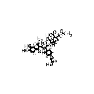 CC(=O)OCC1=C(C(=O)O)N2C(=O)[C@@H](NC(=O)C(NC(=O)c3c(C)oc4c(O)c(O)ccc4c3=O)c3ccc(OCC(=O)O)cc3)[C@H]2SC1